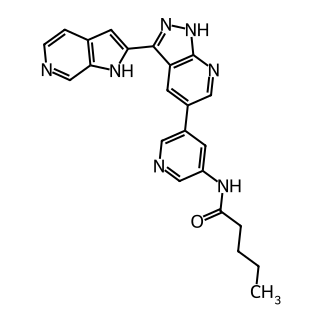 CCCCC(=O)Nc1cncc(-c2cnc3[nH]nc(-c4cc5ccncc5[nH]4)c3c2)c1